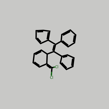 ClC(Cl)=C1C=CC=CC1C(=C(c1ccccc1)c1ccccc1)c1ccccc1